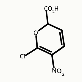 O=C(O)C1C=CC([N+](=O)[O-])=C(Cl)O1